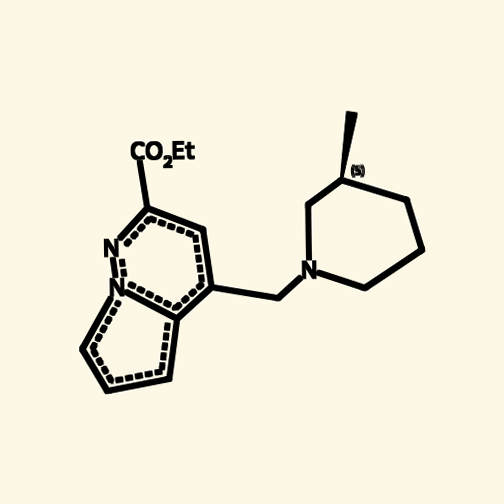 CCOC(=O)c1cc(CN2CCC[C@H](C)C2)c2cccn2n1